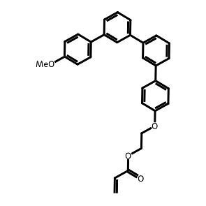 C=CC(=O)OCCOc1ccc(-c2cccc(-c3cccc(-c4ccc(OC)cc4)c3)c2)cc1